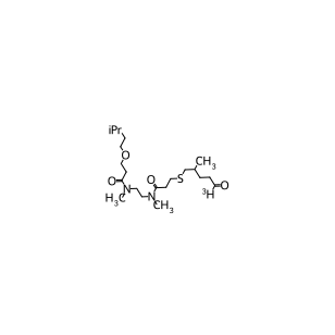 [3H]C(=O)CCC(C)CSCCC(=O)N(C)CCN(C)C(=O)CCOCCC(C)C